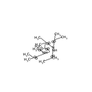 CCCCCCCCCC(C)OC(=O)CCCCCNCCN(CCCCCC(=O)OCC(CCCCCC)CCCCCCCC)CCCCCC(=O)OCC(CCCCCCCC)C(CCCCC)CCCCC(CCCCCC)COC(=O)CCCCCCCCC(CCCCCCCCC(=O)OCC(CCCC)CCCCCC)NCCCC(=O)OCC